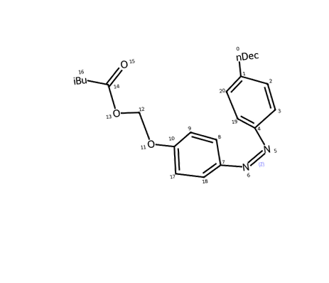 CCCCCCCCCCc1ccc(/N=N\c2ccc(OCOC(=O)C(C)CC)cc2)cc1